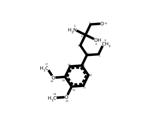 CCC(CC(N)(O)C[O])c1ccc(OC)c(OC)c1